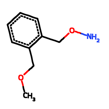 COCc1ccccc1CON